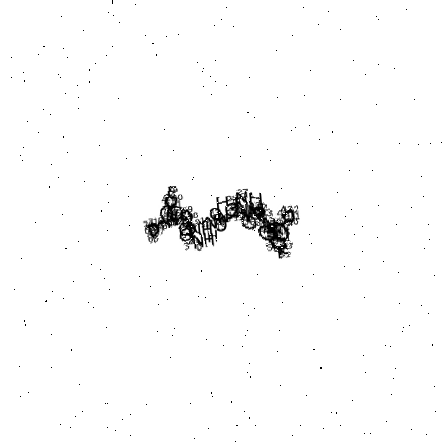 CN[C@@H](C)C(=O)N[C@@H](CCCNC(=O)C(=O)NCCC[C@H](NC(=O)[C@H](C)NC)C(=O)N1CCC[C@H]1CN(CCc1ccccc1)S(=O)(=O)c1ccc(F)cc1)C(=O)N1CCC[C@H]1CN(CCc1ccccc1)S(=O)(=O)c1ccc(F)cc1